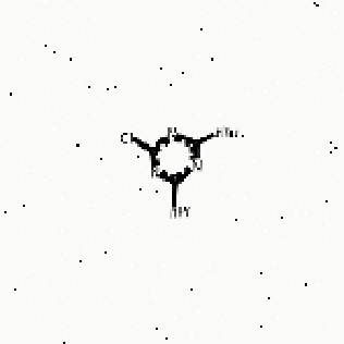 CCCc1nc(Cl)nc(C(C)(C)C)n1